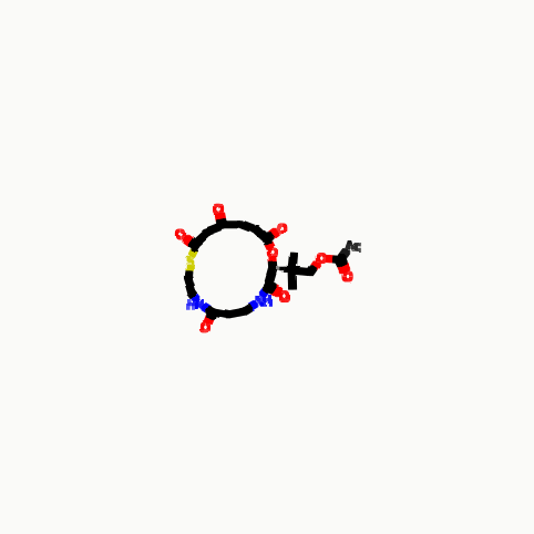 CC(=O)C(=O)OCC(C)(C)[C@H]1OC(=O)CCC(=O)CC(=O)SCCNC(=O)CCNC1=O